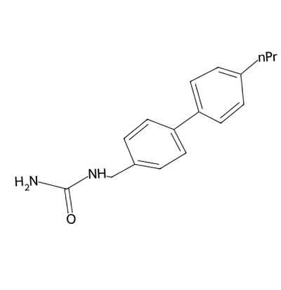 CCCc1ccc(-c2ccc(CNC(N)=O)cc2)cc1